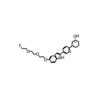 O[C@@H]1CCCN(c2ccc(-c3cc4cc(OCCOCCOCCF)ccc4[nH]3)cn2)C1